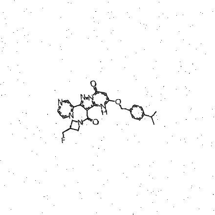 CC(C)c1ccc(COc2cc(=O)n3nc(-c4cnccn4)c(C(=O)N4CC(CF)C4)c3[nH]2)cc1